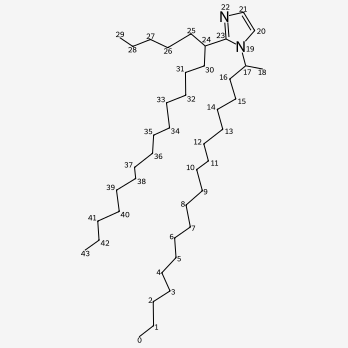 CCCCCCCCCCCCCCCCCC(C)n1ccnc1C(CCCCC)CCCCCCCCCCCCCC